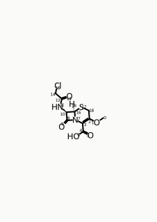 COC1=C(C(=O)O)N2C(=O)[C@@H](NC(=O)CCl)[C@H]2SC1